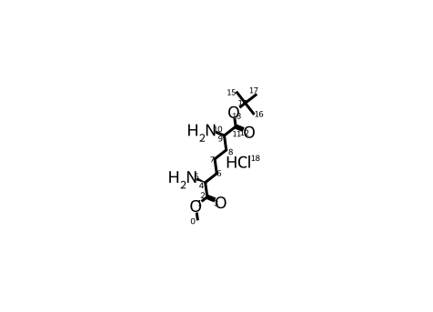 COC(=O)[C@@H](N)CCCC(N)C(=O)OC(C)(C)C.Cl